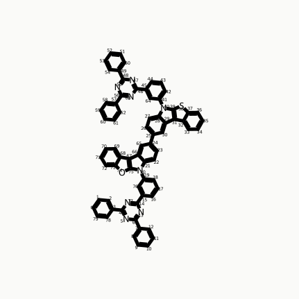 c1ccc(-c2nc(-c3ccccc3)nc(-c3cccc(-n4c5ccc(-c6ccc7c(c6)c6c8ccccc8sc6n7-c6cccc(-c7nc(-c8ccccc8)nc(-c8ccccc8)n7)c6)cc5c5c6ccccc6oc54)c3)n2)cc1